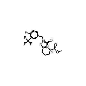 COC(=O)[C@H]1CCCc2nn(Cc3ccc(F)c(C(F)(F)F)c3)c(=O)n21